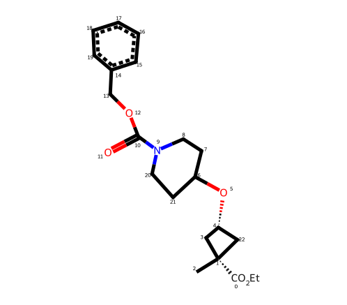 CCOC(=O)[C@]1(C)C[C@H](OC2CCN(C(=O)OCc3ccccc3)CC2)C1